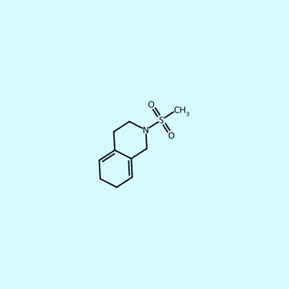 CS(=O)(=O)N1CCC2=CCCC=C2C1